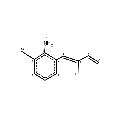 C=C/C(C)=C/c1cccc(C)c1N